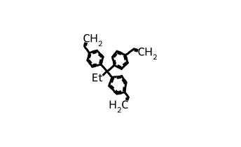 C=Cc1ccc(C(CC)(c2ccc(C=C)cc2)c2ccc(C=C)cc2)cc1